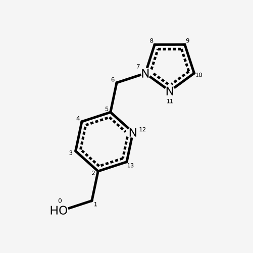 OCc1ccc(Cn2cccn2)nc1